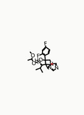 COC(C)ON=C(C(C)C)C1(C(O)(Cn2cncn2)c2ccc(F)cc2F)CC1